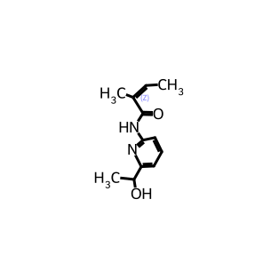 C/C=C(/C)C(=O)Nc1cccc(C(C)O)n1